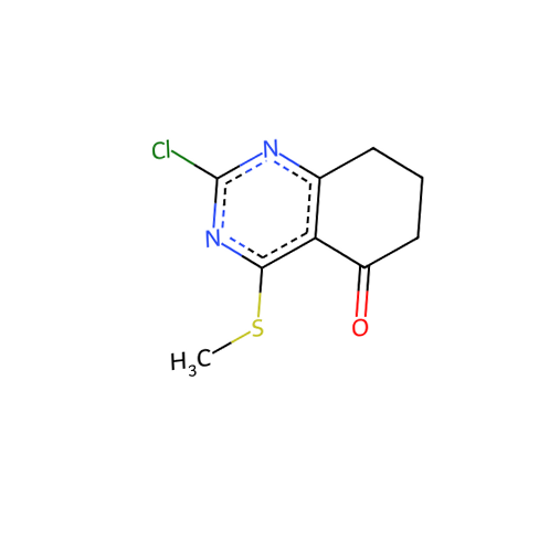 CSc1nc(Cl)nc2c1C(=O)CCC2